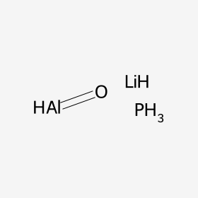 P.[LiH].[O]=[AlH]